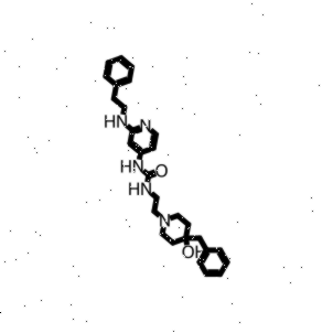 O=C(NCCN1CCC(O)(Cc2ccccc2)CC1)Nc1ccnc(NCCc2ccccc2)c1